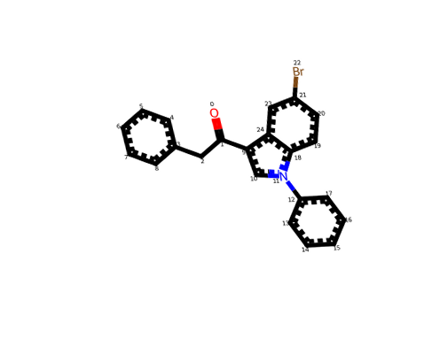 O=C(Cc1ccccc1)c1cn(-c2ccccc2)c2ccc(Br)cc12